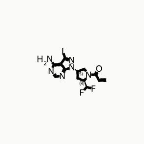 C=CC(=O)N1C[C@@H](n2nc(I)c3c(N)ncnc32)C[C@@H]1C(F)F